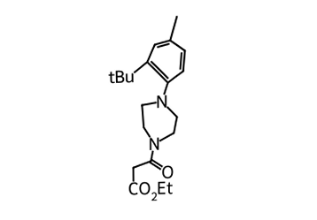 CCOC(=O)CC(=O)N1CCN(c2ccc(C)cc2C(C)(C)C)CC1